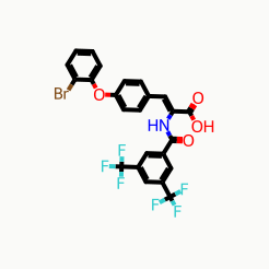 O=C(O)C(=Cc1ccc(Oc2ccccc2Br)cc1)NC(=O)c1cc(C(F)(F)F)cc(C(F)(F)F)c1